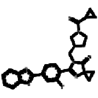 O=C(C1CC1)N1CC[C@@H](CN2C(=O)C3(CC3)N=C2c2ccc(-c3nc4ccccc4s3)cc2F)C1